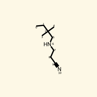 CCC(C)(C)CNCCC#N